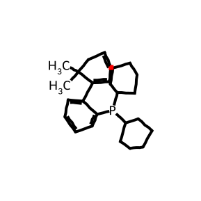 CC1(C)CC=CC=C1c1ccccc1P(C1CCCCC1)C1CCCCC1